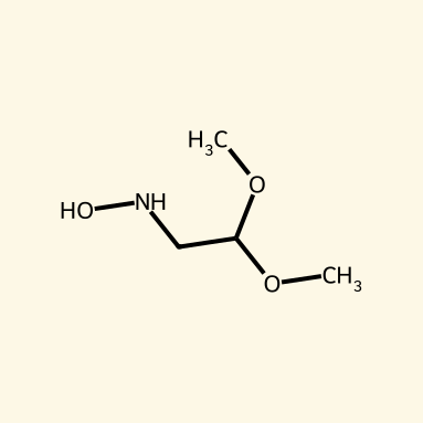 COC(CNO)OC